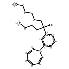 CCCCCCC(C)(CCCC)c1cccc(N2C=CC=CC=N2)c1